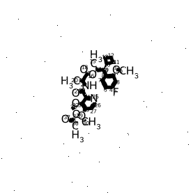 COc1cc(F)ccc1[C@H](C1CCC1)[C@H](C)OC(=O)[C@H](C)NC(=O)c1nccc(OC)c1OCOC(C)=O